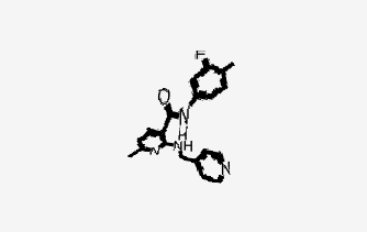 Cc1ccc(C(=O)Nc2ccc(C)c(F)c2)c(NCc2ccncc2)n1